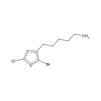 CCCCCCc1cc(Cl)sc1Br